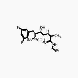 CC(C)CNC(=O)C(C)NC[C@H](O)[C@H](Cc1cc(F)cc(F)c1)N(C(=O)O)C(C)(C)C